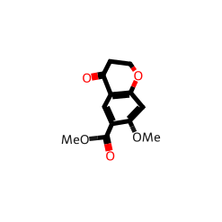 COC(=O)c1cc2c(cc1OC)OCCC2=O